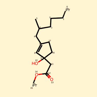 CC(C)CCCC(C)CC1=CC(O)(CC(=O)OC(C)C)CC1